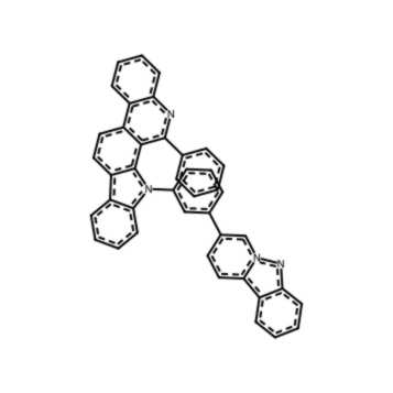 c1ccc(-c2nc3ccccc3c3ccc4c5ccccc5n(-c5cccc(-c6ccc7c8ccccc8nn7c6)c5)c4c23)cc1